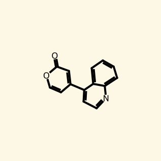 O=c1cc(-c2ccnc3ccccc23)cco1